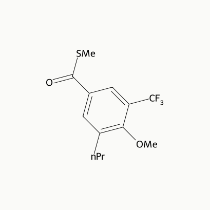 CCCc1cc(C(=O)SC)cc(C(F)(F)F)c1OC